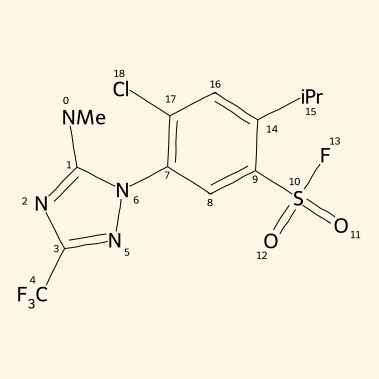 CNc1nc(C(F)(F)F)nn1-c1cc(S(=O)(=O)F)c(C(C)C)cc1Cl